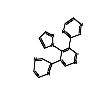 [c]1ncc(-c2cnccn2)c(-n2cccn2)c1-c1cnccn1